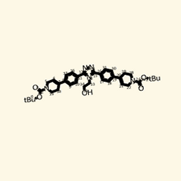 CC(C)(C)OC(=O)N1CC=C(c2ccc(-c3nnc(-c4ccc(C5=CCN(C(=O)OC(C)(C)C)CC5)cc4)n3CCO)cc2)CC1